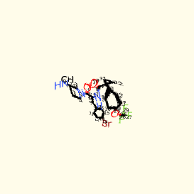 CN[C@@H]1CCN(C(=O)C(Cc2ccc(Br)cc2)NC(=O)C2(c3ccc(OC(F)(F)F)cc3)CC2)C1